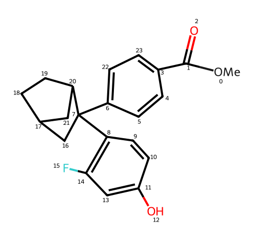 COC(=O)c1ccc(C2(c3ccc(O)cc3F)CC3CCC2C3)cc1